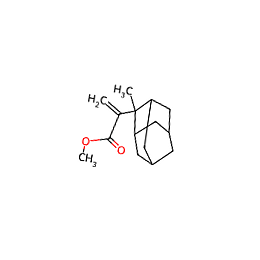 C=C(C(=O)OC)C1(C)C2CC3CC(C2)CC1C3